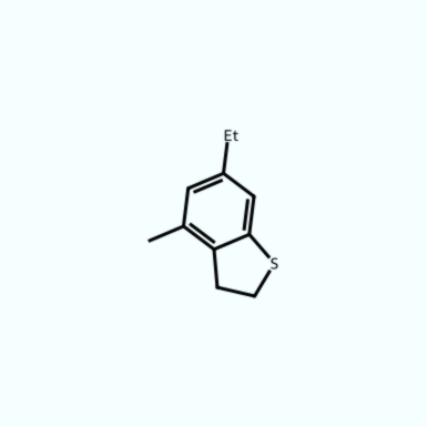 CCc1cc(C)c2c(c1)SCC2